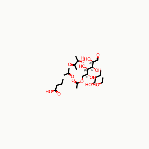 CC(=O)C(C)O.CC(=O)OC[C@@H](O)[C@@H](O)[C@H](O)[C@@H](O)C=O.CC(C)=O.CCCC(=O)O.CCCCO.CCO